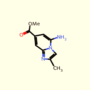 COC(=O)c1cc(N)n2cc(C)nc2c1